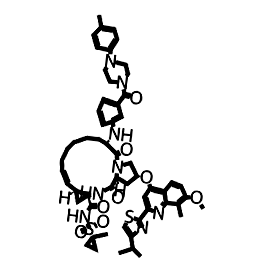 COc1ccc2c(O[C@@H]3C[C@H]4C(=O)N[C@]5(C(=O)NS(=O)(=O)C6(C)CC6)C[C@H]5/C=C\CCCCC[C@H](Nc5cccc(C(=O)N6CCN(c7ccc(C)cc7)CC6)c5)C(=O)N4C3)cc(-c3nc(C(C)C)cs3)nc2c1C